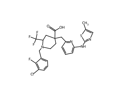 Cc1cnc(Nc2cccc(CC3(C(=O)O)CCN(Cc4cccc(Cl)c4F)C(C(F)(F)F)C3)n2)s1